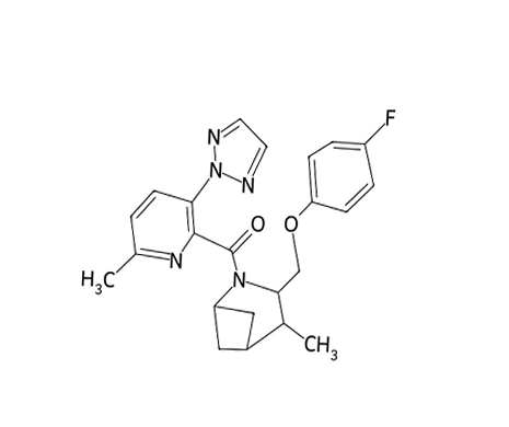 Cc1ccc(-n2nccn2)c(C(=O)N2C3CC(C3)C(C)C2COc2ccc(F)cc2)n1